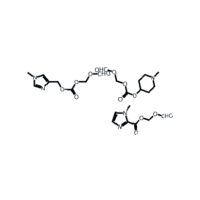 CN1CCC(OC(=O)OCOC=O)CC1.Cn1ccnc1C(=O)OCOC=O.Cn1cnc(COC(=O)OCOC=O)c1